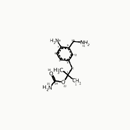 CC(C)(Cc1ccc(N)c(CN)c1)OC(N)=O